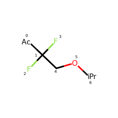 CC(=O)C(F)(F)COC(C)C